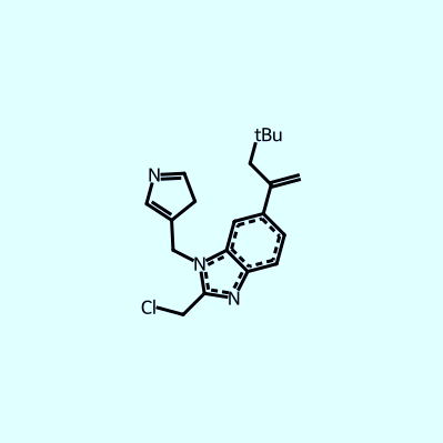 C=C(CC(C)(C)C)c1ccc2nc(CCl)n(CC3=CN=CC3)c2c1